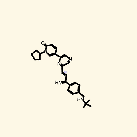 CC(C)(C)NCc1ccc(C(=N)/C=C/c2cncc(-c3ccc(=O)n(C4CCCC4)c3)n2)cc1